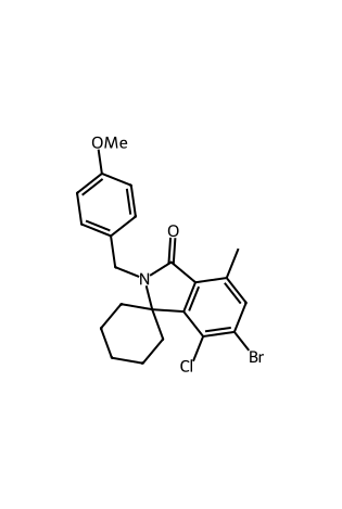 COc1ccc(CN2C(=O)c3c(C)cc(Br)c(Cl)c3C23CCCCC3)cc1